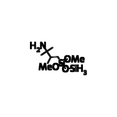 CO[Si](CC(C)C(C)(C)N)(OC)O[SiH3]